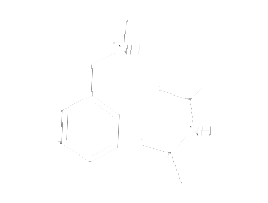 CC(C)NC(C)C.CNCc1ccccc1